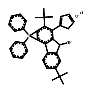 CC(C)(C)c1ccc2c(c1)[CH]([Ti+2])c1c(C3=CC=CC3)c(C(C)(C)C)c3c(c1-2)[Si]3(c1ccccc1)c1ccccc1.[Cl-].[Cl-]